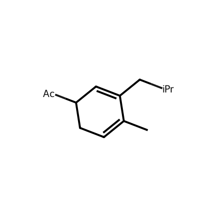 CC(=O)C1C=C(CC(C)C)C(C)=CC1